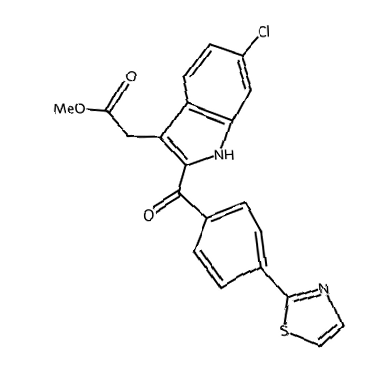 COC(=O)Cc1c(C(=O)c2ccc(-c3nccs3)cc2)[nH]c2cc(Cl)ccc12